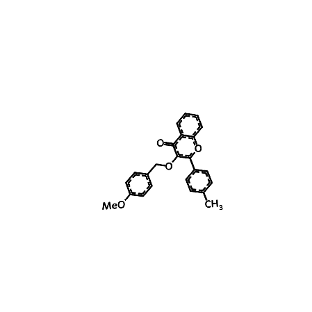 COc1ccc(COc2c(-c3ccc(C)cc3)oc3ccccc3c2=O)cc1